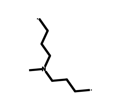 [CH2]CCCN(C)CCC[CH2]